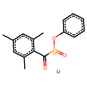 Cc1cc(C)c(C(=O)[PH](=O)Oc2ccccc2)c(C)c1.[Li]